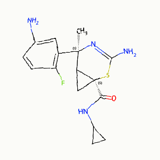 C[C@]1(c2cc(N)ccc2F)N=C(N)S[C@@]2(C(=O)NC3CC3)CC21